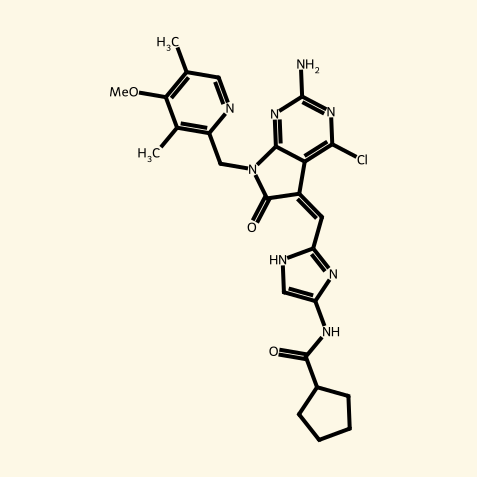 COc1c(C)cnc(CN2C(=O)/C(=C\c3nc(NC(=O)C4CCCC4)c[nH]3)c3c(Cl)nc(N)nc32)c1C